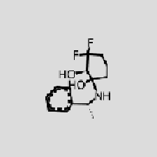 C[C@@H](NC1(O)CCCC(F)(F)[C@@H]1O)c1ccccc1